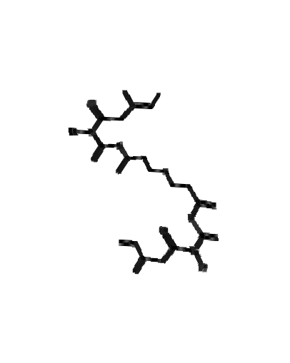 C=CC(=C)CC(=O)N(CC)C(=C)SC(=C)CCSCCC(=C)SC(=C)N(CC)C(=O)C/C(C)=C/C